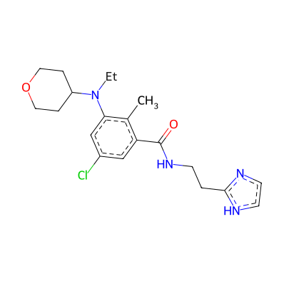 CCN(c1cc(Cl)cc(C(=O)NCCc2ncc[nH]2)c1C)C1CCOCC1